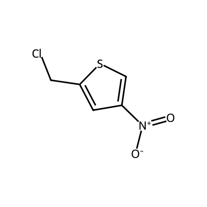 O=[N+]([O-])c1csc(CCl)c1